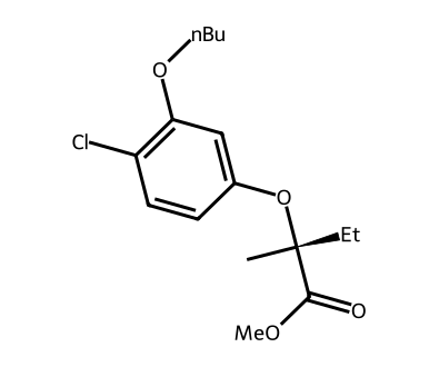 CCCCOc1cc(O[C@](C)(CC)C(=O)OC)ccc1Cl